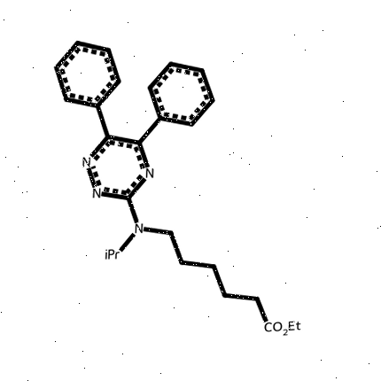 CCOC(=O)CCCCCN(c1nnc(-c2ccccc2)c(-c2ccccc2)n1)C(C)C